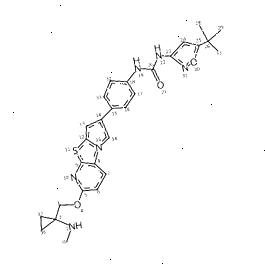 CNC1(COc2ccc3c(n2)sc2cc(-c4ccc(NC(=O)Nc5cc(C(C)(C)C)on5)cc4)cn23)CC1